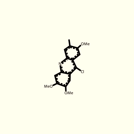 COc1cc2c(Cl)c3cc(OC)c(OC)cc3nc2cc1C